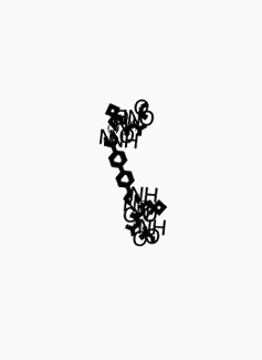 COC(=O)N[C@H](C(=O)N1OC2(CCC2)C[C@H]1c1ncc(-c2ccc(-c3ccc(-c4cnc([C@@H]5CC6(CCC6)ON5C(=O)[C@@H](NC(=O)OC)C(C)C)[nH]4)cc3)cc2)[nH]1)C(C)C